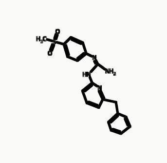 CS(=O)(=O)c1ccc(N=C(N)Nc2cccc(Cc3ccccc3)n2)cc1